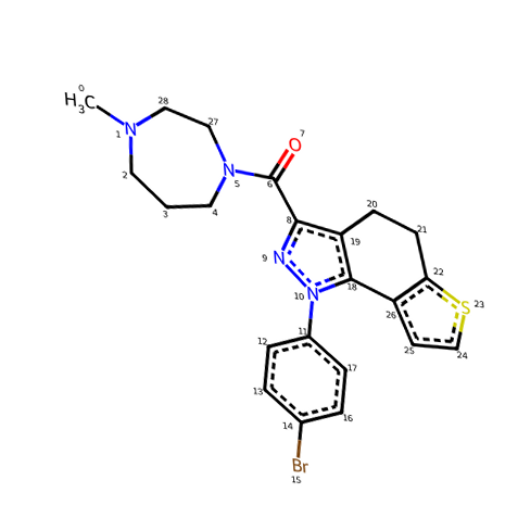 CN1CCCN(C(=O)c2nn(-c3ccc(Br)cc3)c3c2CCc2sccc2-3)CC1